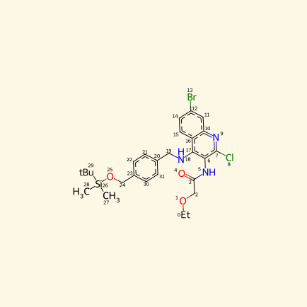 CCOCC(=O)Nc1c(Cl)nc2cc(Br)ccc2c1NCc1ccc(CO[Si](C)(C)C(C)(C)C)cc1